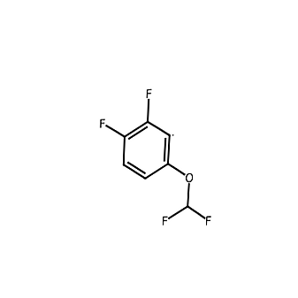 Fc1[c]c(OC(F)F)ccc1F